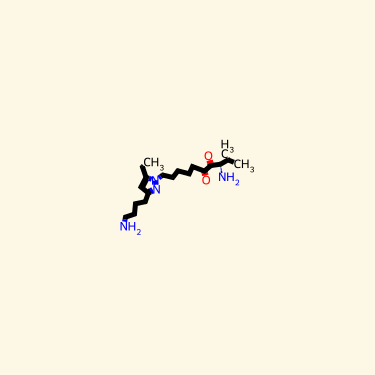 CCc1cc(CCCCN)nn1CCCCCC(=O)C(=O)[C@@H](N)C(C)C